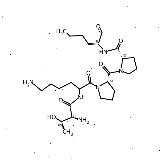 CCCC[C@@H](C=O)NC(=O)[C@@H]1CCCN1C(=O)[C@@H]1CCCN1C(=O)C(CCCCN)NC(=O)[C@@H](N)[C@@H](C)O